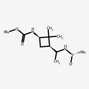 CC(N[S@@+]([O-])C(C)(C)C)[C@H]1C[C@@H](NC(=O)OC(C)(C)C)C1(C)C